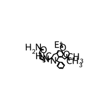 CCOc1cc2c(c3c1OC(C)(C)C3)C(c1ccccc1)=NC(C)(CN1C=CN(CC(N)=O)C1)C2